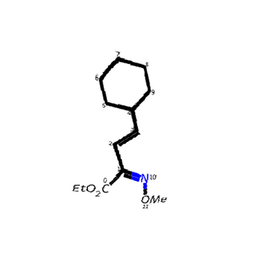 CCOC(=O)C(/C=C/C1CCCCC1)=NOC